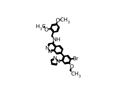 CCOc1cc(-n2cccn2)c(-c2ccc3c(NCc4ccc(OC)cc4OC)cnnc3c2)cc1Br